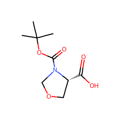 CC(C)(C)OC(=O)N1COC[C@H]1C(=O)O